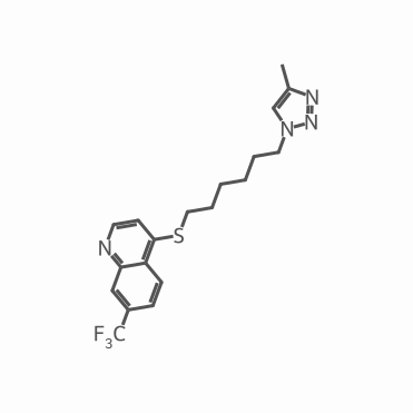 Cc1cn(CCCCCCSc2ccnc3cc(C(F)(F)F)ccc23)nn1